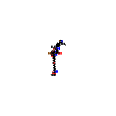 Cc1ncsc1-c1ccc([C@H](C)NC(=O)[C@@H]2C[C@@H](O)CN2C(=O)[C@@H](NC(=O)CCCCCOCCCCCCNC(=O)OC(C)(C)C)C(C)(C)S)cc1